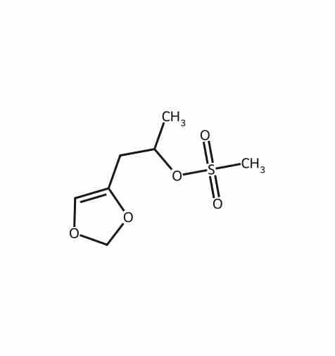 CC(CC1=COCO1)OS(C)(=O)=O